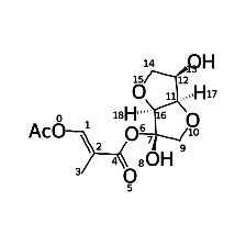 CC(=O)OC=C(C)C(=O)O[C@@]1(O)CO[C@@H]2[C@H](O)CO[C@@H]21